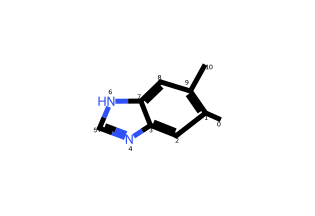 Cc1cc2n[c][nH]c2cc1C